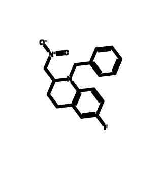 O=[N+]([O-])CC1CCc2cc(F)ccc2N1Cc1ccccc1